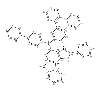 c1ccc(-c2ccc(N(c3ccc(-c4ccccc4)c(-c4ccccc4)c3)c3cc4oc5ccccc5c4c4oc(-c5ccccc5)nc34)cc2)cc1